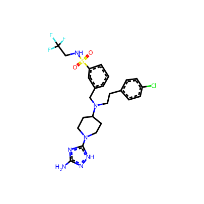 Nc1n[nH]c(N2CCC(N(CCc3ccc(Cl)cc3)Cc3cccc(S(=O)(=O)NCC(F)(F)F)c3)CC2)n1